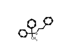 CC(SCCc1ccccc1)(c1ccccc1)c1ccccc1